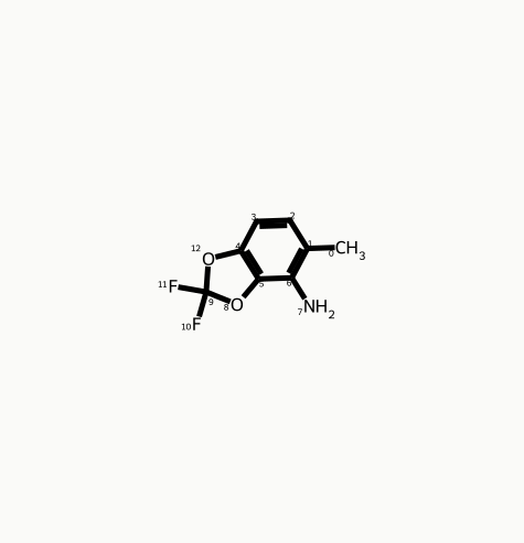 Cc1ccc2c(c1N)OC(F)(F)O2